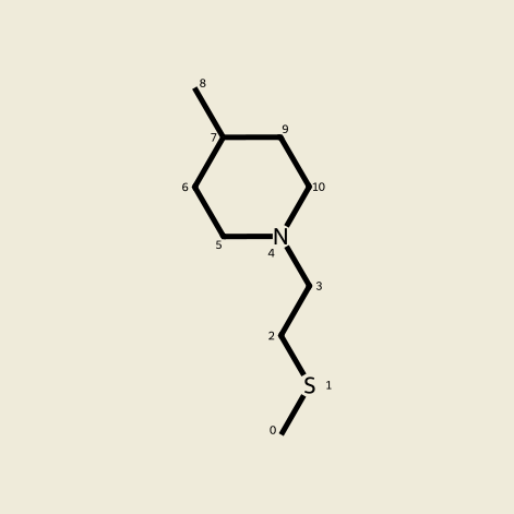 CSCCN1CCC(C)CC1